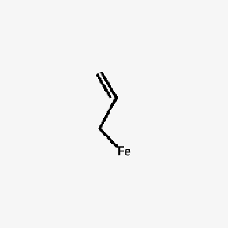 C=C[CH2][Fe]